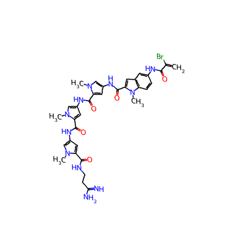 C=C(Br)C(=O)Nc1ccc2c(c1)cc(C(=O)Nc1cc(C(=O)Nc3cc(C(=O)Nc4cc(C(=O)NCCC(=N)N)n(C)c4)n(C)c3)n(C)c1)n2C